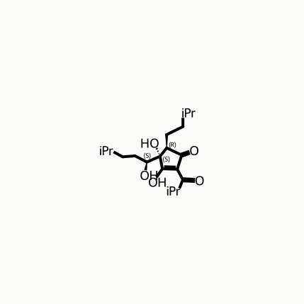 CC(C)CC[C@H](O)[C@]1(O)C(O)=C(C(=O)C(C)C)C(=O)[C@@H]1CCC(C)C